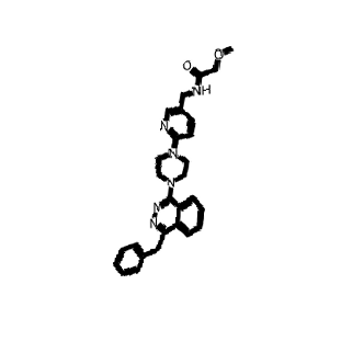 COCC(=O)NCc1ccc(N2CCN(c3nnc(Cc4ccccc4)c4ccccc34)CC2)nc1